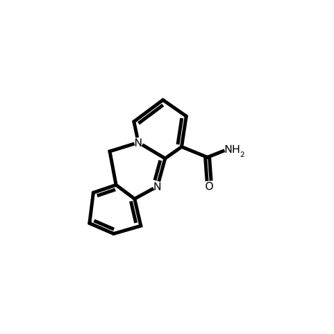 NC(=O)C1=CC=CN2Cc3ccccc3N=C12